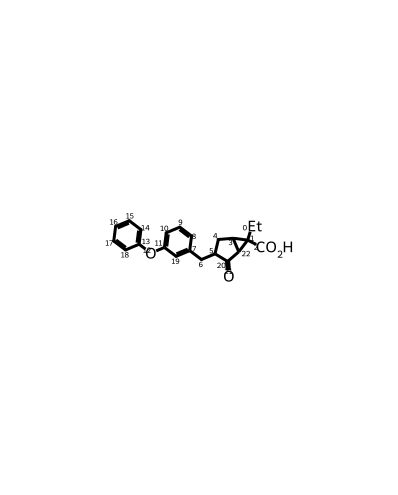 CCC1(C(=O)O)C2CC(Cc3cccc(Oc4ccccc4)c3)C(=O)C21